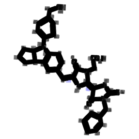 O=C(O)Cn1c(=O)/c(=C\c2ccc3c(c2)C2CCCC2N3c2ccc(CO)cc2)s/c1=C1/SC(=S)N(Cc2ccccc2)C1=O